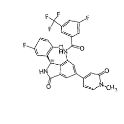 Cn1ccc(-c2cc(NC(=O)c3cc(F)cc(C(F)(F)F)c3)c3c(c2)C(=O)N[C@H]3c2cc(F)ccc2Cl)cc1=O